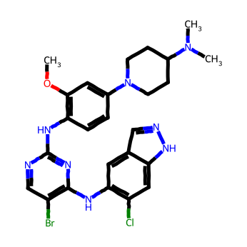 COc1cc(N2CCC(N(C)C)CC2)ccc1Nc1ncc(Br)c(Nc2cc3cn[nH]c3cc2Cl)n1